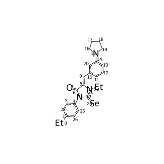 CCc1ccc(N2C(=O)C(=Cc3cccc(N4CCCC4)c3)N(CC)C2=[Se])cc1